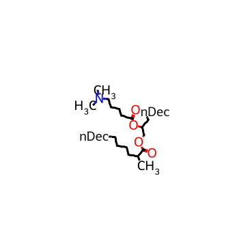 CCCCCCCCCCCCCCC(C)C(=O)OCC(CCCCCCCCCCC)OC(=O)CCCCN(C)C